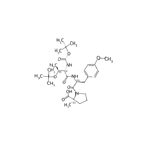 COc1ccc(C[C@H](NC(=O)[C@@H](NC(=O)OC(C)(C)C)[C@H](C)OC(C)(C)C)C(=O)N2CCC[C@@]2(C)C(=O)O)cc1